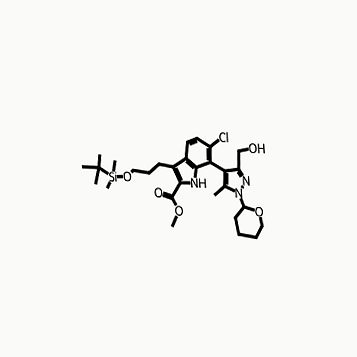 COC(=O)c1[nH]c2c(-c3c(CO)nn(C4CCCCO4)c3C)c(Cl)ccc2c1CCCO[Si](C)(C)C(C)(C)C